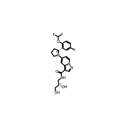 O=C(NC[C@H](O)CO)c1cnn2ccc(N3CCC[C@@H]3c3cc(F)ccc3OC(F)F)cc12